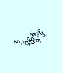 CC(C)(C)n1ccc(C(=O)NCc2nc(-c3cc4c(N[C@@H]5CN(C(=O)O)CC[C@@H]5F)cccc4n3CC(F)(F)F)no2)c1